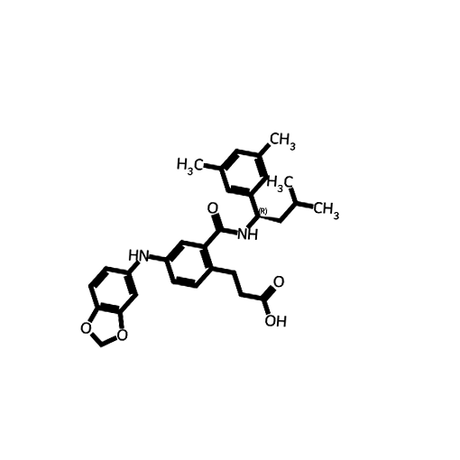 Cc1cc(C)cc([C@@H](CC(C)C)NC(=O)c2cc(Nc3ccc4c(c3)OCO4)ccc2CCC(=O)O)c1